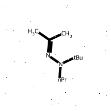 CCCN(N=C(C)C)C(C)(C)C